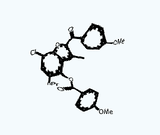 CCCc1cc(Cl)c2oc(C(=O)c3ccc(OC)cc3)c(C)c2c1OC(=O)c1ccc(OC)cc1